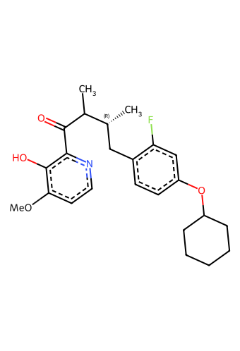 COc1ccnc(C(=O)C(C)[C@H](C)Cc2ccc(OC3CCCCC3)cc2F)c1O